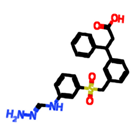 NN=CNc1cccc(S(=O)(=O)Cc2cccc(C(CC(=O)O)c3ccccc3)c2)c1